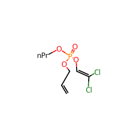 C=CCOP(=O)(OC=C(Cl)Cl)OCCC